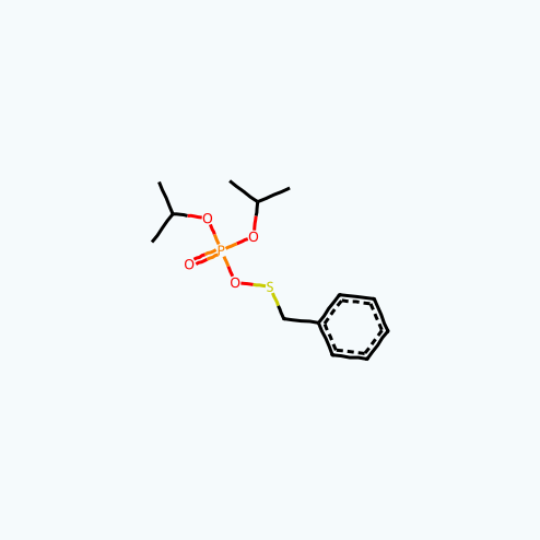 CC(C)OP(=O)(OSCc1ccccc1)OC(C)C